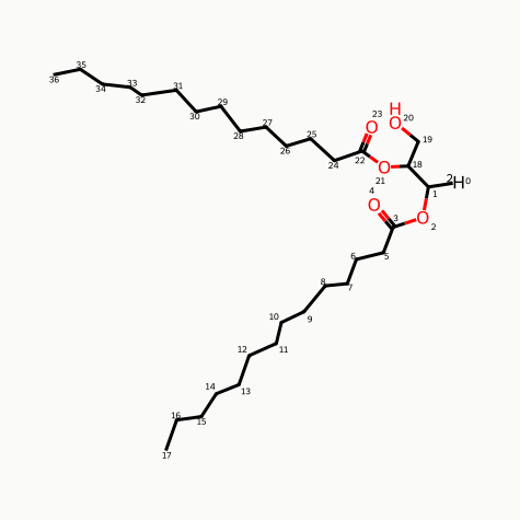 [2H]C(OC(=O)CCCCCCCCCCCCC)C(CO)OC(=O)CCCCCCCCCCCCC